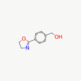 OCc1ccc(C2=NCCO2)cc1